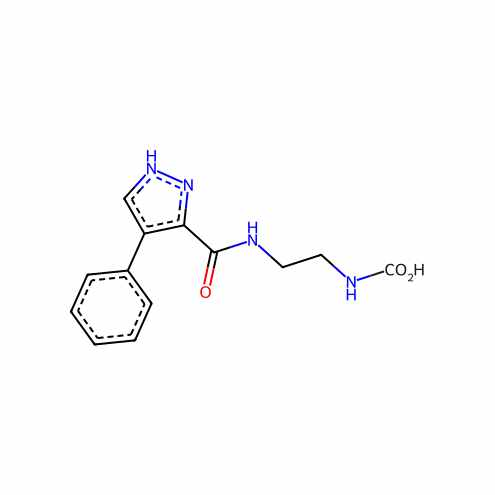 O=C(O)NCCNC(=O)c1n[nH]cc1-c1ccccc1